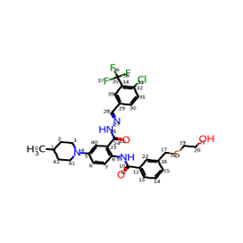 CC1CCN(c2ccc(NC(=O)c3cccc(CSCCO)c3)c(C(=O)NN=Cc3ccc(Cl)c(C(F)(F)F)c3)c2)CC1